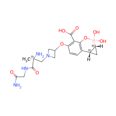 C[C@](N)(CN1CC(Oc2ccc3c(c2C(=O)O)O[B-](O)(O)[C@@H]2C[C@H]32)C1)C(=O)NCC(N)=O